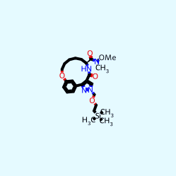 CON(C)C(=O)[C@@H]1CCCCCOc2cccc(c2)-c2nn(COCC[Si](C)(C)C)cc2C(=O)N1